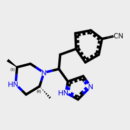 C[C@@H]1CN[C@@H](C)CN1C(Cc1ccc(C#N)cc1)c1cnc[nH]1